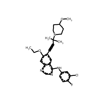 CCOc1cc2ncnc(Nc3ccc(F)c(Cl)c3)c2cc1C#CC(C)(C)N1CCC(OC)CC1